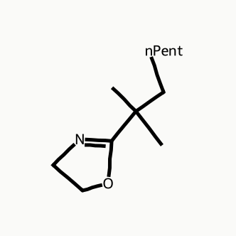 CCCCCCC(C)(C)C1=NCCO1